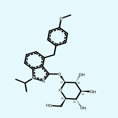 COc1ccc(Cc2cccc3c2c(O[C@@H]2O[C@H](CO)[C@@H](O)[C@H](O)[C@H]2O)nn3C(C)C)cc1